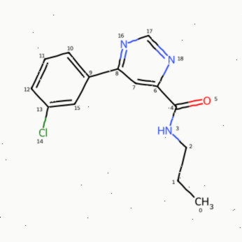 CCCNC(=O)c1cc(-c2cccc(Cl)c2)ncn1